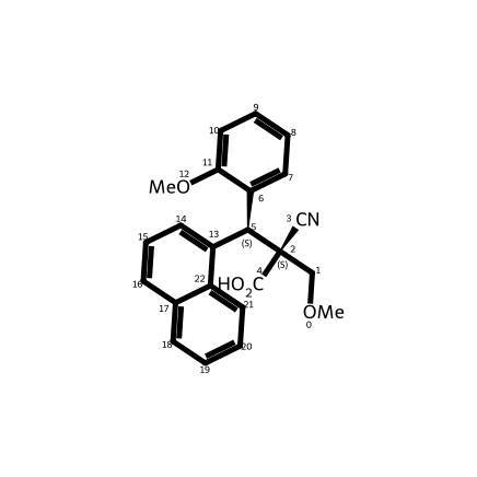 COC[C@](C#N)(C(=O)O)[C@H](c1ccccc1OC)c1cccc2ccccc12